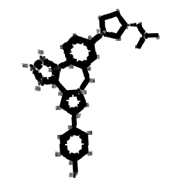 CN(C)C[C@H]1CCN(c2ccc3c(c2)Cn2cc(-c4ccc(F)cc4)cc2-c2nnnn2-3)C1